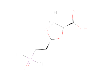 C[C@H]1O[C@H](CCP(C)(C)=O)O[C@@H]1C(=O)O